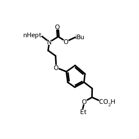 CCCCCCCN(CCOc1ccc(CC(OCC)C(=O)O)cc1)C(=O)OC(C)CC